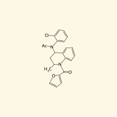 CC(=O)N(c1ccccc1Cl)C1CC(C)N(C(=O)c2ccco2)c2ccccc21